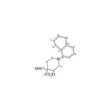 CCOC(=O)C1(C=O)CCN(c2cccc3ccccc23)CC1